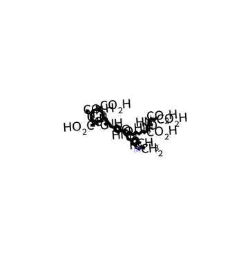 C=C/C=C\c1cc(CC(NC(=O)c2ccc(CNC(=O)CN3CCN(CC(=O)O)CCN(CC(=O)O)CCN(CC(=O)O)CC3)cc2)C(=O)NCCCC[C@H](NC(=O)N[C@@H](CCC(=O)O)C(=O)O)C(=O)O)ccc1C